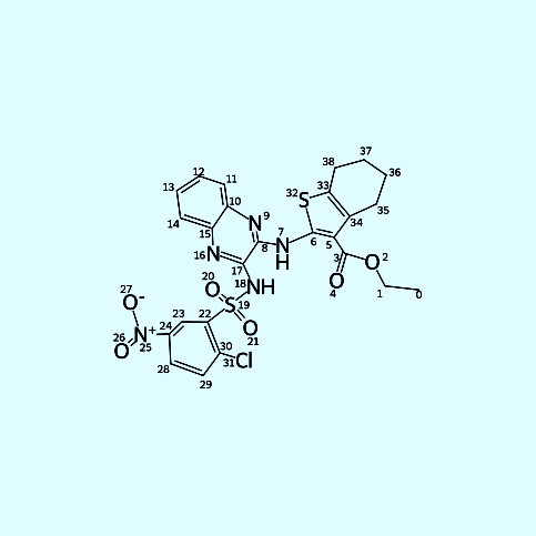 CCOC(=O)c1c(Nc2nc3ccccc3nc2NS(=O)(=O)c2cc([N+](=O)[O-])ccc2Cl)sc2c1CCCC2